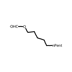 CCCCCCCCCCO[C]=O